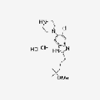 COC(C)(C)CCCc1nc2cc(Cl)c(N3CCNCC3)cc2[nH]1.Cl.Cl